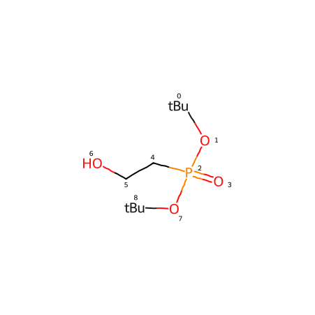 CC(C)(C)OP(=O)(CCO)OC(C)(C)C